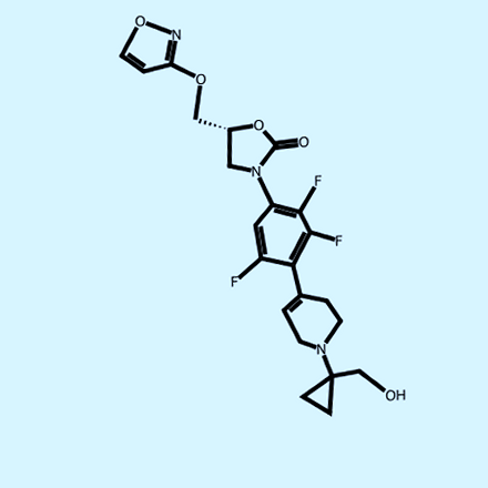 O=C1O[C@@H](COc2ccon2)CN1c1cc(F)c(C2=CCN(C3(CO)CC3)CC2)c(F)c1F